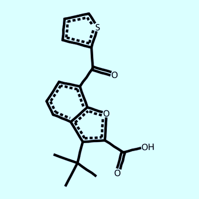 CC(C)(C)c1c(C(=O)O)oc2c(C(=O)c3cccs3)cccc12